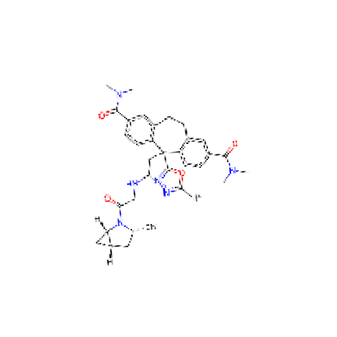 CC(C)c1nnc(C2(C[C@H](C)NCC(=O)N3[C@H](C#N)C[C@@H]4C[C@@H]43)c3ccc(C(=O)N(C)C)cc3CCc3cc(C(=O)N(C)C)ccc32)o1